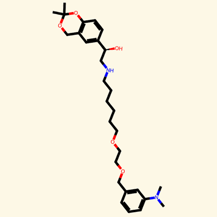 CN(C)c1cccc(COCCOCCCCCCNC[C@H](O)c2ccc3c(c2)COC(C)(C)O3)c1